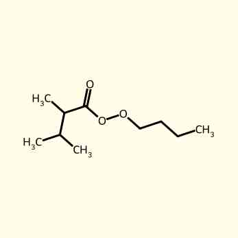 CCCCOOC(=O)C(C)C(C)C